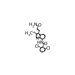 CCc1cnc2c(NC(=O)c3c(Cl)cccc3Cl)cccc2c1/C=C/C(N)=O